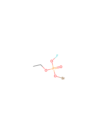 CCOP(=O)(OF)OBr